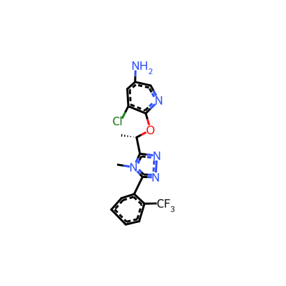 C[C@H](Oc1ncc(N)cc1Cl)c1nnc(-c2ccccc2C(F)(F)F)n1C